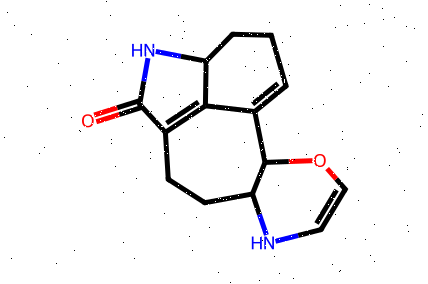 O=C1NC2CCC=C3C2=C1CCC1NC=COC31